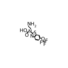 NCCN(C(=O)O)c1nc2ccc(OC(F)(F)F)cc2s1